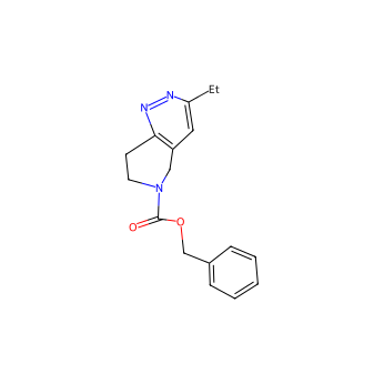 CCc1cc2c(nn1)CCN(C(=O)OCc1ccccc1)C2